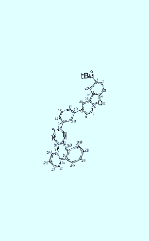 CC(C)(C)c1ccc2oc3ccc(-c4cccc(-c5cnc6c7ccccc7c7ccccc7c6n5)c4)cc3c2c1